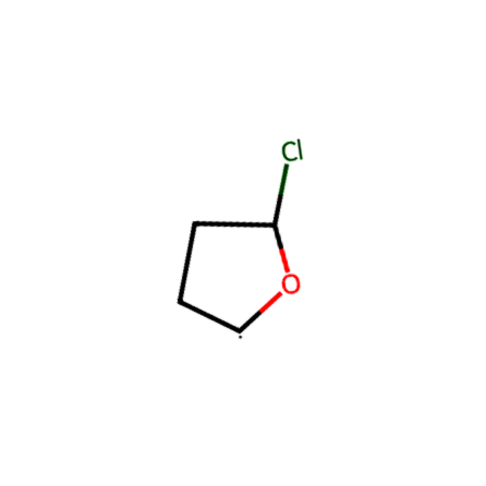 ClC1CC[CH]O1